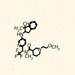 COCCN1CCCC(C(=O)N(C)[C@@H](c2ccc(NC3Cc4ccccc4C3(C)C)cn2)C(F)(F)F)C1